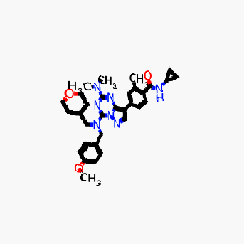 COc1ccc(CN(CC2CCOCC2)c2nc(N(C)C)nc3c(-c4ccc(C(=O)NC5CC5)c(C)c4)cnn23)cc1